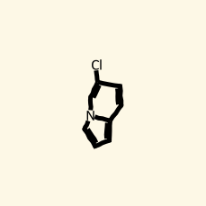 Clc1ccc2cccn2c1